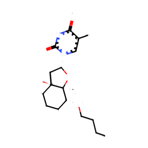 CCCCO[C@@H]1CCC[C@]2(O)C[C@H](n3cc(C)c(=O)[nH]c3=O)O[C@@H]12